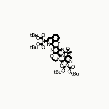 C[C@H](c1cccnc1N(C(=O)OC(C)(C)C)C(=O)OC(C)(C)C)N1CCOc2nc(-c3nc(N(C(=O)OC(C)(C)C)C(=O)OC(C)(C)C)cc4ccccc34)c(F)c3nc(S(C)(=O)=O)nc1c23